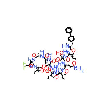 CC[C@H](C)[C@H](NC(=O)[C@@H](Cc1ccc(-c2ccccc2)cc1)NC)C(=O)N[C@](C=O)(CO)CN[C@H](CCC(N)=O)C(=O)N[C@@H](C(=O)N[C@H](C(=O)N[C@@H](CO)C(=O)N[C@H]1C(=O)N[C@@H](C)C(=O)NC2(CC2CC(F)F)C(=O)N[C@@H]([C@@H](C)CC)C(=O)O[C@H]1C)[C@@H](C)CC)[C@@H](C)CC